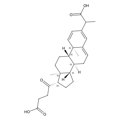 CC(C(=O)O)C1=CC2=CC[C@H]3[C@@H]4CC[C@H](C(=O)CCC(=O)O)[C@@]4(C)CC[C@@H]3[C@@]2(C)C=C1